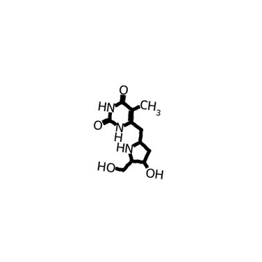 Cc1c(CC2CC(O)C(CO)N2)[nH]c(=O)[nH]c1=O